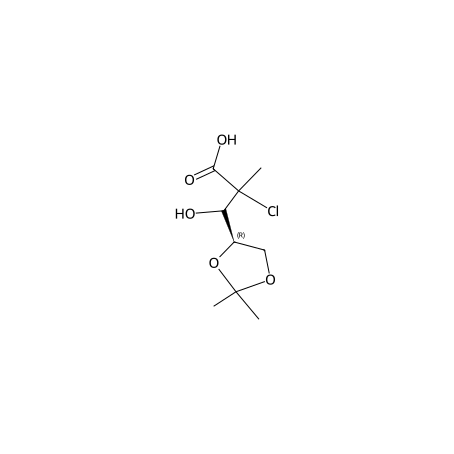 CC1(C)OC[C@H](C(O)C(C)(Cl)C(=O)O)O1